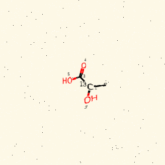 C[13CH](O)C(=O)O